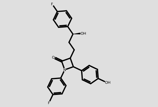 O=C1C(CC[C@H](O)c2ccc(F)cc2)C(c2ccc(O)cc2)N1c1ccc(F)cc1